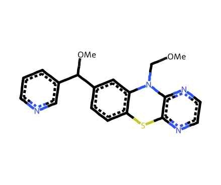 COCN1c2cc(C(OC)c3cccnc3)ccc2Sc2nccnc21